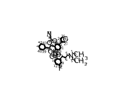 CCN(CC)CC=Cc1cc(F)ccc1S(=O)(=O)Cc1ccc(-c2ccoc2)c(OCC#N)c1C(=O)C(O)c1ccccc1